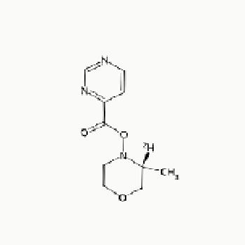 [2H][C@@]1(C)COCCN1OC(=O)c1ccncn1